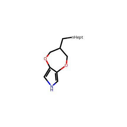 CCCCCCCCC1COc2c[nH]cc2OC1